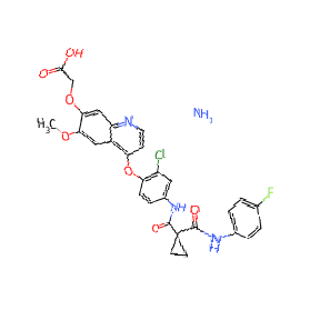 COc1cc2c(Oc3ccc(NC(=O)C4(C(=O)Nc5ccc(F)cc5)CC4)cc3Cl)ccnc2cc1OCC(=O)O.N